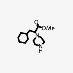 COC(=O)C(CC1CCCCC1)N1CCNCC1